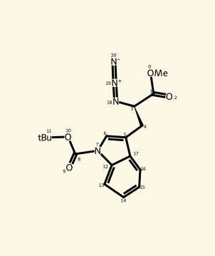 COC(=O)[C@@H](Cc1cn(C(=O)OC(C)(C)C)c2ccccc12)N=[N+]=[N-]